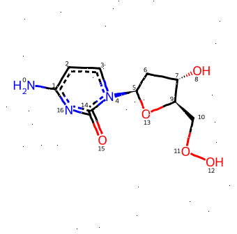 Nc1ccn([C@H]2C[C@H](O)[C@@H](COO)O2)c(=O)n1